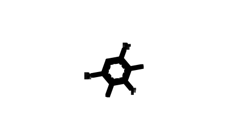 Cc1c(Br)cc(Br)c(C)c1F